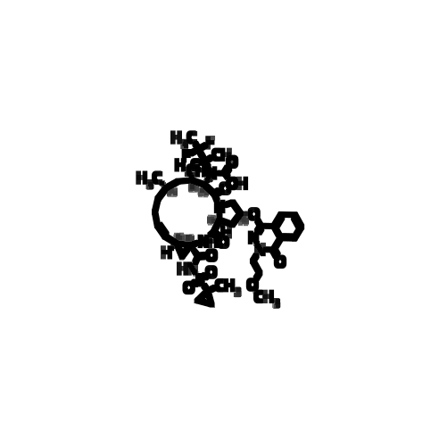 COCCn1nc(O[C@@H]2C[C@H]3C(=O)N[C@]4(C(=O)NS(=O)(=O)C5(C)CC5)C[C@H]4C=CCC[C@H](C)C[C@@H](C)[C@H](N(C(=O)O)C(C)(C)C(C)(F)F)C(=O)N3C2)c2ccccc2c1=O